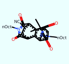 CCCCCCCCn1c(=O)c2ccc(c1=O)c1c3c(C#N)cc(c(=O)n(CCCCCCCC)c3=O)c21